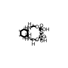 O=P1(O)OCN[C@@H]2CCCC[C@H]2NPOP(=O)(O)O1